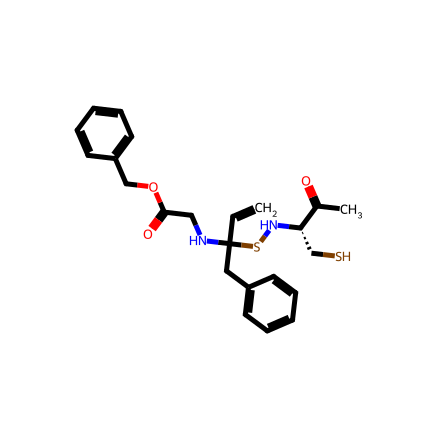 C=CC(Cc1ccccc1)(NCC(=O)OCc1ccccc1)SN[C@@H](CS)C(C)=O